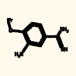 CC(C)Oc1ccc(C(=N)N)cc1N